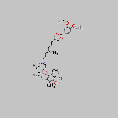 COc1ccc(C2OCC(=CCC/C(C)=C/CC/C(C)=C/CCC3(C)CCc4c(C)c(O)c(C=O)c(C)c4O3)CO2)cc1OC